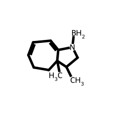 BN1CC(C)C2(C)CCC=CC=C12